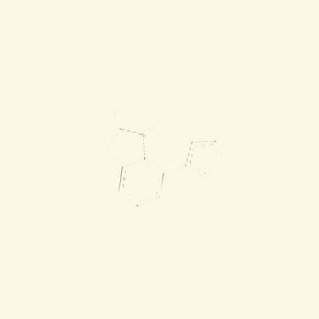 CC1Cc2cccc(-c3ccoc3)c2C1=O